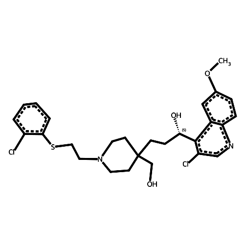 COc1ccc2ncc(Cl)c([C@@H](O)CCC3(CO)CCN(CCSc4ccccc4Cl)CC3)c2c1